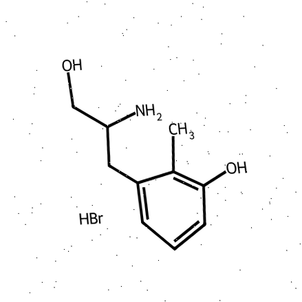 Br.Cc1c(O)cccc1CC(N)CO